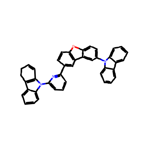 C1=Cc2c(c3ccccc3n2-c2cccc(-c3ccc4oc5ccc(-n6c7ccccc7c7ccccc76)cc5c4c3)n2)CC1